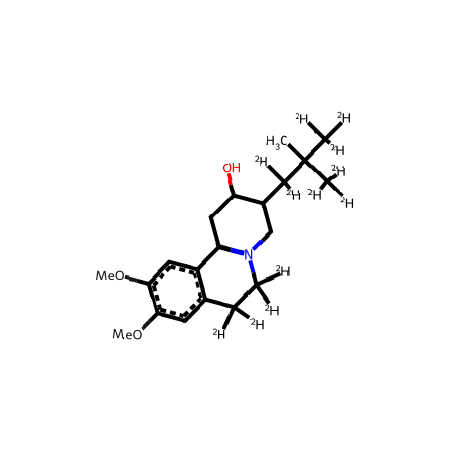 [2H]C([2H])([2H])C(C)(C([2H])([2H])[2H])C([2H])([2H])C1CN2C(CC1O)c1cc(OC)c(OC)cc1C([2H])([2H])C2([2H])[2H]